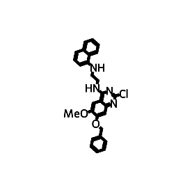 COc1cc2c(NCCNc3cccc4ccccc34)nc(Cl)nc2cc1OCc1ccccc1